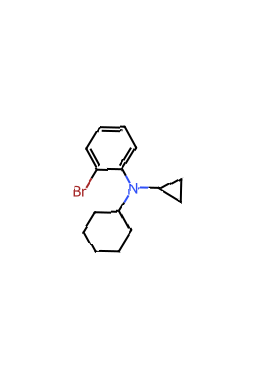 Brc1ccccc1N(C1CCCCC1)C1CC1